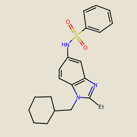 CCc1nc2cc(NS(=O)(=O)c3ccccc3)ccc2n1CC1CCCCC1